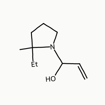 C=CC(O)N1CCCC1(C)CC